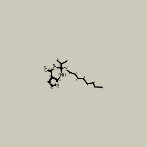 CCCCCCCCOC1(C(C)C)Nc2sccc2C(=O)O1